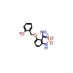 COc1ccccc1COc1cccc2c1C(N)=NS(=O)(=O)N2